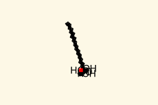 C/C=C\CCCCCCCCCCCCCCCCCCCCC(O)(C[N+](C)(C)C)P(=O)(O)O